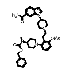 COc1cccc(N2CCC(N(C)C(=O)OCc3ccccc3)CC2)c1CCN1CCC(n2ccc3ccc(C(N)=O)cc32)CC1